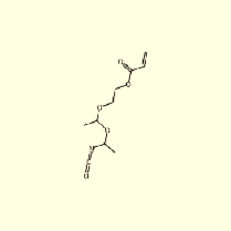 C=CC(=O)OCCOC(C)OC(C)N=C=O